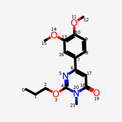 CCCOc1nc(-c2ccc(OC)c(OC)c2)cc(=O)n1C